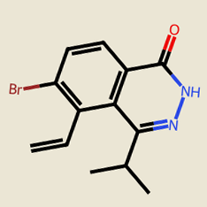 C=Cc1c(Br)ccc2c(=O)[nH]nc(C(C)C)c12